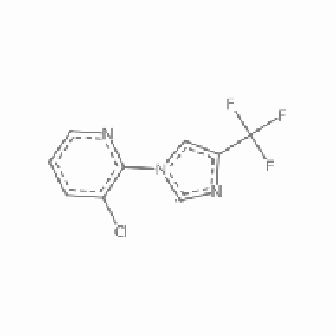 FC(F)(F)c1cn(-c2ncccc2Cl)[c]n1